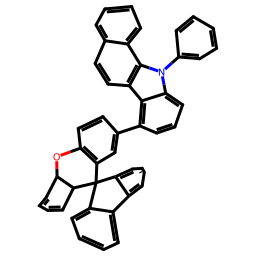 C1=CC2Oc3ccc(-c4cccc5c4c4ccc6ccccc6c4n5-c4ccccc4)cc3C3(c4ccccc4-c4ccccc43)C2C=C1